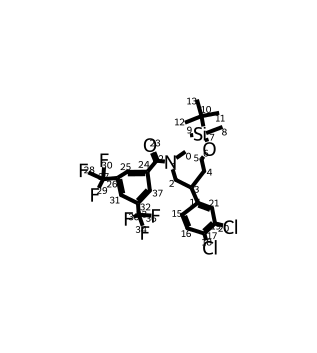 CN(CC(CCO[Si](C)(C)C(C)(C)C)c1ccc(Cl)c(Cl)c1)C(=O)c1cc(C(F)(F)F)cc(C(F)(F)F)c1